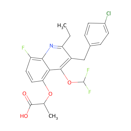 CCc1nc2c(F)ccc(OC(C)C(=O)O)c2c(OC(F)F)c1Cc1ccc(Cl)cc1